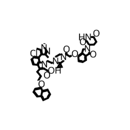 Cc1nn(C)c(C)c1-c1c(Cl)ccc2c(CCCOc3cccc4ccccc34)c(C(=O)O)n(CCN3CCN(C(=O)COc4cccc5c4CN(C4CCC(=O)NC4=O)C5=O)CC34CC4)c12